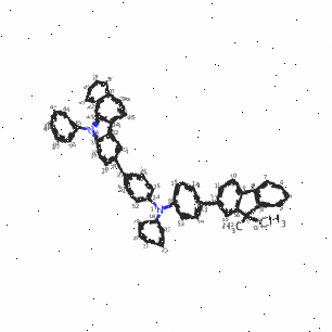 CC1(C)c2ccccc2-c2ccc(-c3ccc(N(c4ccccc4)c4ccc(-c5ccc6c(c5)c5ccc7ccccc7c5n6-c5ccccc5)cc4)cc3)cc21